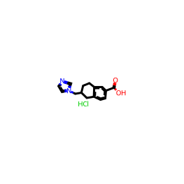 Cl.O=C(O)c1ccc2c(c1)CCC(Cn1ccnc1)C2